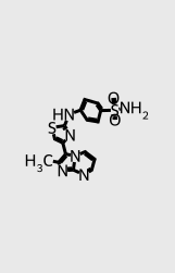 Cc1nc2ncccn2c1-c1csc(Nc2ccc(S(N)(=O)=O)cc2)n1